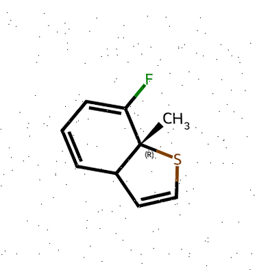 C[C@@]12SC=CC1C=CC=C2F